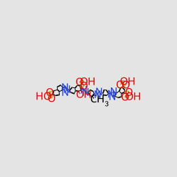 Cc1cc(N=Nc2c(S(=O)(=O)O)cc3cc(-n4nc5ccc6cc(S(=O)(=O)O)ccc6c5n4)ccc3c2O)ccc1N=Nc1ccc(-n2nc3ccc4c(S(=O)(=O)O)cc(S(=O)(=O)O)cc4c3n2)cc1